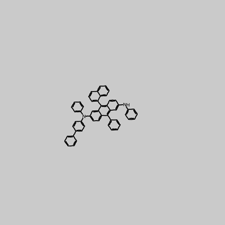 c1ccc(Nc2ccc3c(-c4cccc5ccccc45)c4cc(N(c5ccccc5)c5ccc(-c6ccccc6)cc5)ccc4c(-c4ccccc4)c3c2)cc1